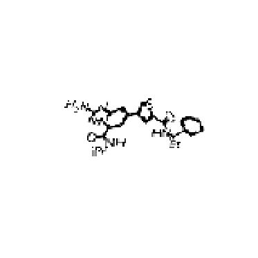 CC[C@H](NC(=O)c1cc(-c2cc(C(=O)NC(C)C)n3nc(N)nc3c2)cs1)c1ccccc1